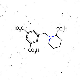 O=C(O)c1cc(CN2CCCCC2C(=O)O)cc(C(=O)O)c1